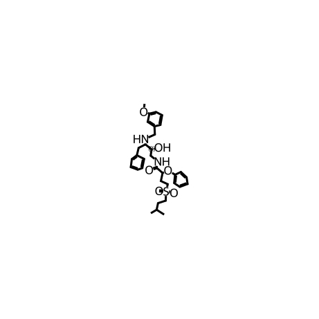 COc1cccc(CNC(Cc2ccccc2)[C@H](O)CNC(=O)C(CCS(=O)(=O)CCC(C)C)Oc2ccccc2)c1